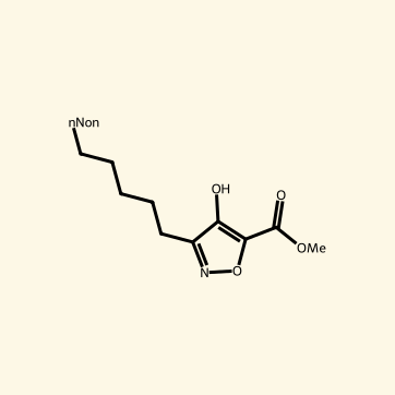 CCCCCCCCCCCCCCc1noc(C(=O)OC)c1O